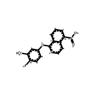 Cc1cc(Oc2nccc3c([N+](=O)[O-])cccc23)ccc1F